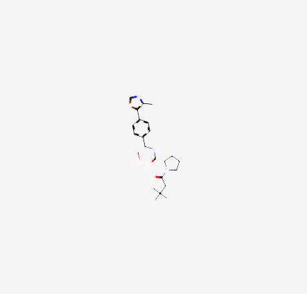 Cc1ncsc1-c1ccc([C@H](CO)NC(=O)[C@@H]2CCCN2C(=O)CC(C)(C)C)cc1